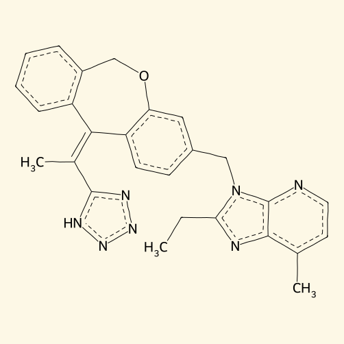 CCc1nc2c(C)ccnc2n1Cc1ccc2c(c1)OCc1ccccc1C2=C(C)c1nnn[nH]1